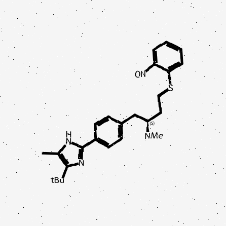 CN[C@H](CCSc1ccccc1N=O)Cc1ccc(-c2nc(C(C)(C)C)c(C)[nH]2)cc1